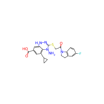 N/N=C(/SCC(=O)N1CCc2cc(F)ccc21)N(N)c1ccc(C(=O)O)cc1C1CC1